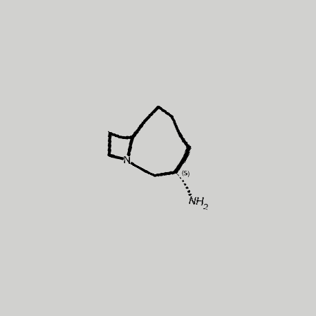 N[C@H]1CCCC2CCN2C1